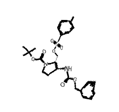 Cc1ccc(S(=O)(=O)OC[C@@H]2[C@@H](NC(=O)OCc3ccccc3)CCN2C(=O)OC(C)(C)C)cc1